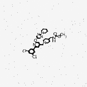 COC(=O)NCC1CCN(Cc2cc(Oc3cnc(N4CCCCC4)nc3)nc(-c3cc(Cl)cc(Cl)c3)c2)CC1